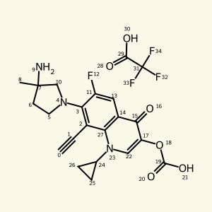 C#Cc1c(N2CCC(C)(N)C2)c(F)cc2c(=O)c(OC(=O)O)cn(C3CC3)c12.O=C(O)C(F)(F)F